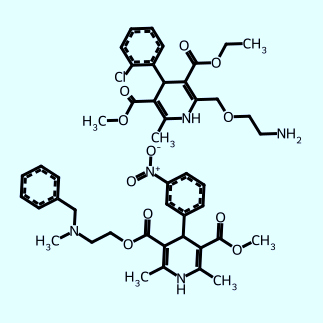 CCOC(=O)C1=C(COCCN)NC(C)=C(C(=O)OC)C1c1ccccc1Cl.COC(=O)C1=C(C)NC(C)=C(C(=O)OCCN(C)Cc2ccccc2)C1c1cccc([N+](=O)[O-])c1